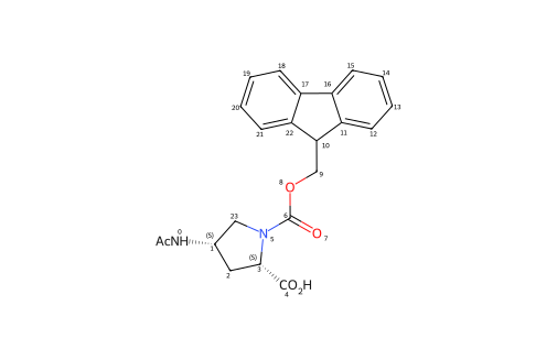 CC(=O)N[C@H]1C[C@@H](C(=O)O)N(C(=O)OCC2c3ccccc3-c3ccccc32)C1